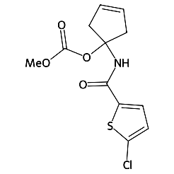 COC(=O)OC1(NC(=O)c2ccc(Cl)s2)CC=CC1